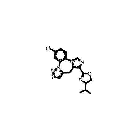 CC(C)C1COC(c2ncn3c2Cc2cnnn2-c2cc(Cl)ccc2-3)=N1